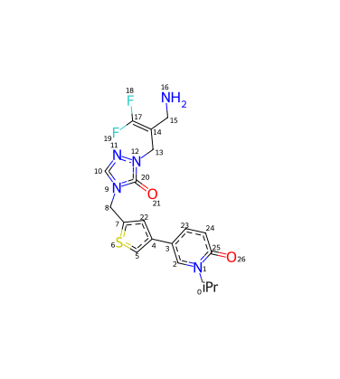 CC(C)n1cc(-c2csc(Cn3cnn(CC(CN)=C(F)F)c3=O)c2)ccc1=O